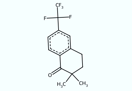 CC1(C)CCc2cc(C(F)(F)C(F)(F)F)ccc2C1=O